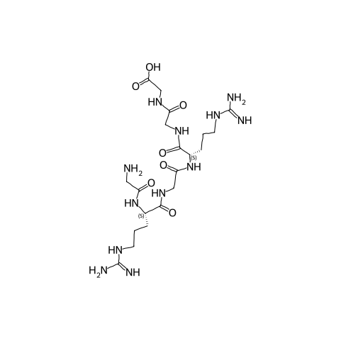 N=C(N)NCCC[C@H](NC(=O)CN)C(=O)NCC(=O)N[C@@H](CCCNC(=N)N)C(=O)NCC(=O)NCC(=O)O